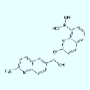 Cc1ccc2cc(C(O)Oc3ccc4cccc(B(O)O)c4n3)ccc2n1